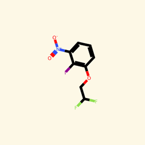 O=[N+]([O-])c1cccc(OCC(F)F)c1I